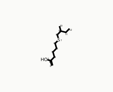 C=C(O)CCCCSCC(C)CC